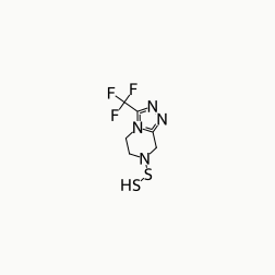 FC(F)(F)c1nnc2n1CCN(SS)C2